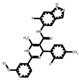 CCOc1cc(C2=NC(c3ccc(C)cc3F)C(C(=O)Nc3cc4cn[nH]c4cc3F)=C(C)N2)ccn1